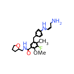 COc1c(C(=O)NCC2CCCO2)cc(Cc2ccc(N/C=C\CN)cc2)c(C)c1F